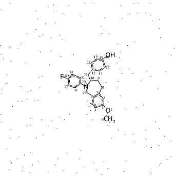 COc1ccc2c(c1)CCC(Cc1ccc(O)cc1)N(c1ccc(F)cc1)C2